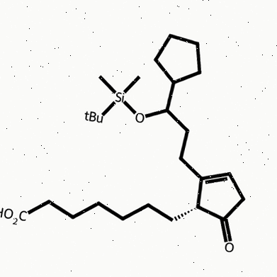 CC(C)(C)[Si](C)(C)OC(CCC1=CCC(=O)[C@@H]1CCCCCCC(=O)O)C1CCCC1